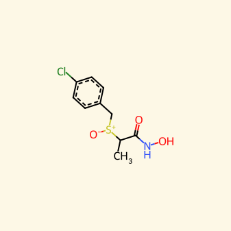 CC(C(=O)NO)[S+]([O-])Cc1ccc(Cl)cc1